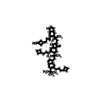 CC(C)(C)c1cc2ccn(CC(C)(C)c3cc4c(F)c(CC(C)(C)c5cc6cc[nH]c6nc5OCCN5CC(O)C5)[nH]c4nc3OCCN3CCC3)c2nc1OCCN1CCC1